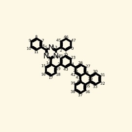 C1=CC(c2nc(-c3ccccc3)nc(-c3ccccc3-c3cccc(-c4ccc5c6ccccc6c6ccccc6c5c4)c3)n2)=CCC1